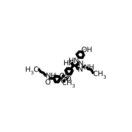 CCCCCNC(=O)c1ccc(N(C)S(=O)(=O)c2ccc(C(=N)c3cnc(NCCCC)nc3N[C@H]3CC[C@@H](O)CC3)cc2)cc1